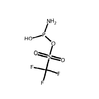 NP(O)OS(=O)(=O)C(F)(F)F